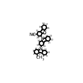 Cc1cccc2c1c1ccccc1n2-c1ccc2c(c1)c1ccccc1n2-c1cc(C#N)cc2c1oc1ccccc12